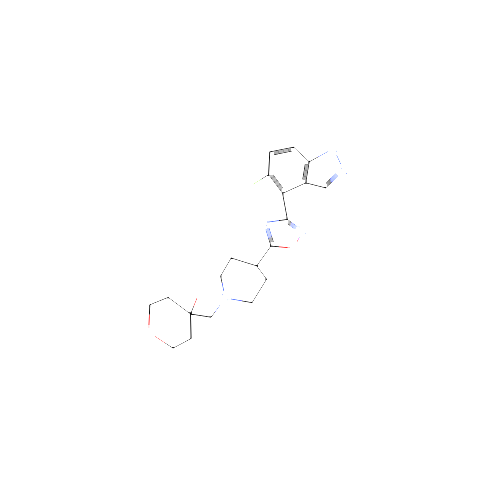 OC1(CN2CCC(c3nc(-c4c(F)ccc5[nH]ncc45)no3)CC2)CCOCC1